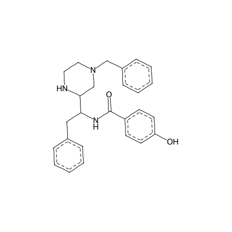 O=C(NC(Cc1ccccc1)C1CN(Cc2ccccc2)CCN1)c1ccc(O)cc1